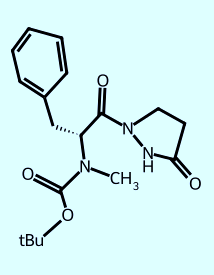 CN(C(=O)OC(C)(C)C)[C@H](Cc1ccccc1)C(=O)N1CCC(=O)N1